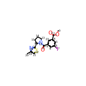 COC(=O)c1cc(I)cc(C(=O)N2CCC[C@@H]2c2nc(C)cs2)c1